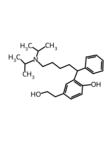 CC(C)N(CCCCC(c1ccccc1)c1cc(CCO)ccc1O)C(C)C